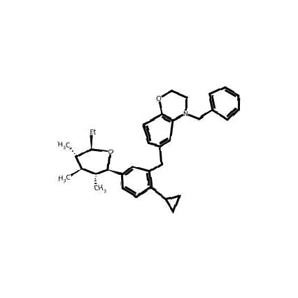 CC[C@H]1O[C@@H](c2ccc(C3CC3)c(Cc3ccc4c(c3)N(Cc3ccccc3)CCO4)c2)[C@H](C)[C@@H](C)[C@@H]1C